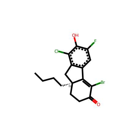 CCCC[C@@]12CCC(=O)C(Br)=C1c1cc(F)c(O)c(Cl)c1C2